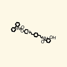 O=C(Nc1ccccc1-c1ccccc1)OC1CCN(CCc2ccc(CCNC(=O)c3cccc(O)c3)cc2)CC1